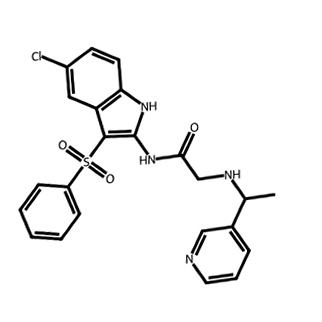 CC(NCC(=O)Nc1[nH]c2ccc(Cl)cc2c1S(=O)(=O)c1ccccc1)c1cccnc1